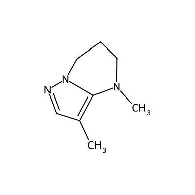 Cc1cnn2c1N(C)CCC2